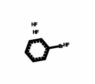 Brc1ccccc1.F.F.F